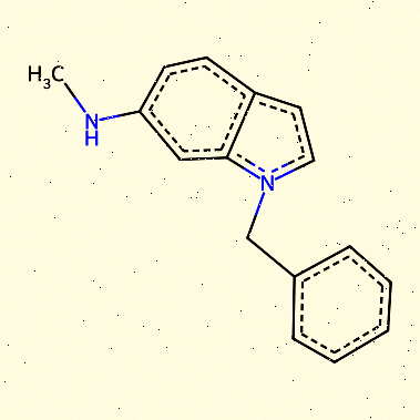 CNc1ccc2ccn(Cc3ccccc3)c2c1